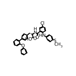 CSc1ccc(Nc2ccc(Cl)cc2C(=O)N[C@@H](Cc2ccc(-c3ccccc3Oc3ccccc3)cc2)C(=O)O)cc1